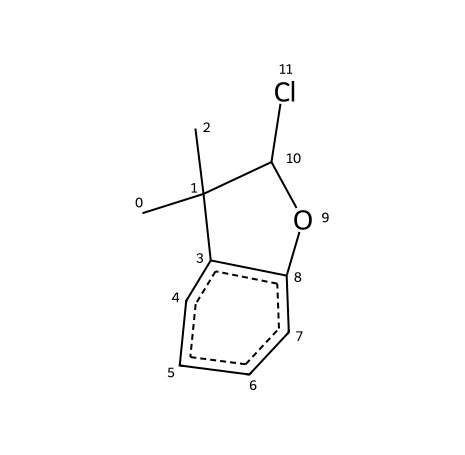 CC1(C)c2ccccc2OC1Cl